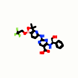 CC1(C)OB(OCC(F)(F)F)c2ccc(Nc3ncc(C(=O)O)c(N[C@H](CO)c4ccccc4)n3)nc21